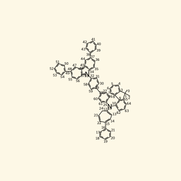 CC1(C)c2ccccc2-c2c(N(C3=CC=C(c4ccccc4)C=CC3)c3ccc(-c4ccc(-n5c6ccc(-c7ccccc7)cc6c6cc(-c7ccccc7)ccc65)cc4)cc3)cccc21